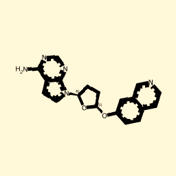 Nc1ncnc2c1ccn2[C@H]1CC[C@@H](Oc2ccc3ccncc3c2)O1